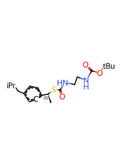 CC(C)Cc1ccc([C@H](C)SC(=O)NCCNC(=O)OC(C)(C)C)cc1